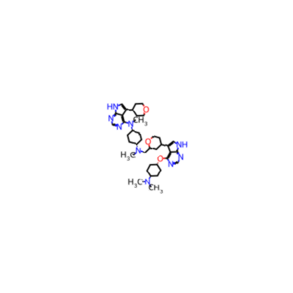 CN(C)[C@H]1CC[C@H](Oc2ncnc3[nH]cc(C4CCOC(CN(C)[C@H]5CC[C@H](N(C)c6ncnc7[nH]cc(C8CCOCC8)c67)CC5)C4)c23)CC1